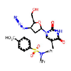 CCCN(CCC)S(=O)(=O)c1ccc(C(=O)O)cc1.Cc1cn(C2CC(N=[N+]=[N-])C(CO)O2)c(=O)[nH]c1=O